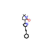 CN1C(=O)C(c2ccc(C#Cc3ccccc3)cn2)CCC1(C)C